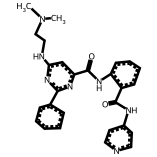 CN(C)CCNc1cc(C(=O)Nc2ccccc2C(=O)Nc2ccncc2)nc(-c2ccccc2)n1